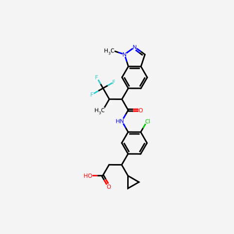 CC(C(C(=O)Nc1cc(C(CC(=O)O)C2CC2)ccc1Cl)c1ccc2cnn(C)c2c1)C(F)(F)F